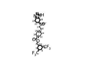 O=C(OCc1cc(C(F)(F)F)cc(C(F)(F)F)c1)N1CCN(CC[S+]([O-])c2ccc3nn[nH]c3c2)CC1